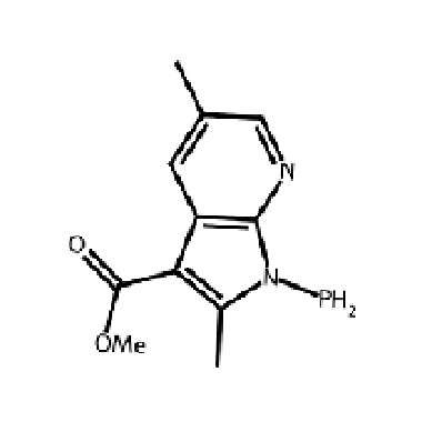 COC(=O)c1c(C)n(P)c2ncc(C)cc12